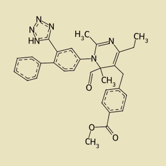 CCC1=C(Cc2ccc(C(=O)OC)cc2)C(C)(C=O)N(c2ccc(-c3ccccc3)c(-c3nnn[nH]3)c2)C(C)=N1